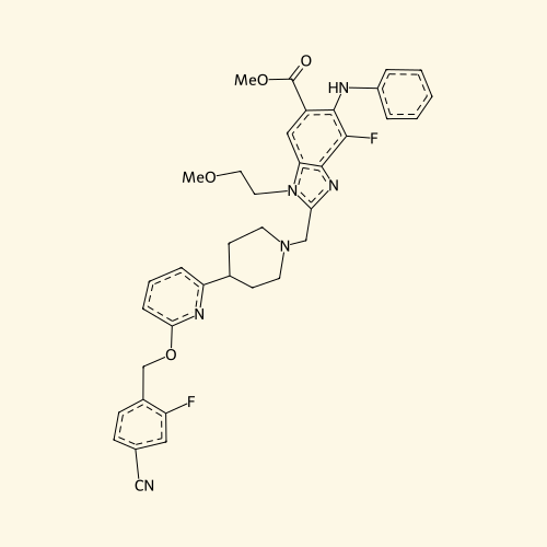 COCCn1c(CN2CCC(c3cccc(OCc4ccc(C#N)cc4F)n3)CC2)nc2c(F)c(Nc3ccccc3)c(C(=O)OC)cc21